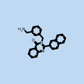 NCc1cccc(Cn2c(-c3ccc4ccccc4c3)nc3ccccc3c2=O)c1